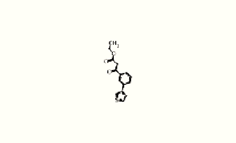 CCOC(=O)CC(=O)c1cccc(-c2ccsc2)c1